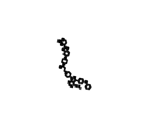 Nc1ncnc2c1c(-c1ccc(Oc3ccccc3)cc1)nn2C1CCN(CCC(=O)N2CCN(c3[c]c4c(cc3)ON(C3CCONO3)O4)CC2)CC1